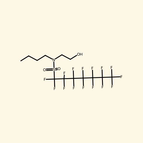 CCCCN(CCO)S(=O)(=O)C(F)(F)C(F)(F)C(F)(F)C(F)(F)C(F)(F)C(F)(F)C(F)(F)F